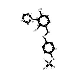 O=S(=O)(F)Oc1ccc(OCc2ccc(F)c(-n3cncn3)c2F)cc1